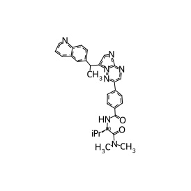 CC(c1ccc2ncccc2c1)c1cnc2ncc(-c3ccc(C(=O)N[C@@H](C(=O)N(C)C)C(C)C)cc3)nn12